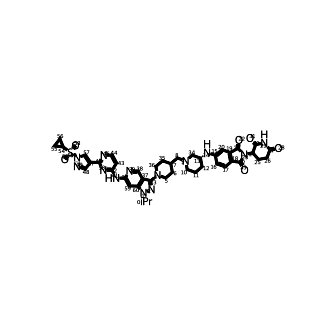 CC(C)n1nc(N2CCC(CN3CCC[C@@H](Nc4ccc5c(c4)C(=O)N(C4CCC(=O)NC4=O)C5=O)C3)CC2)c2cnc(Nc3ccnc(-c4cnn(S(=O)(=O)C5CC5)c4)n3)cc21